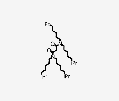 CC(C)CCCCCN(CCCCCC(C)C)C(=O)CC(=O)N(CCCCCC(C)C)CCCCCC(C)C